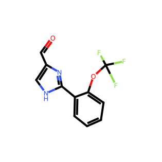 O=Cc1c[nH]c(-c2ccccc2OC(F)(F)F)n1